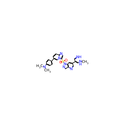 CN/C=C(\C=N)c1cnc2cnn(S(=O)(=O)c3cnc4ccc(-c5ccc(N(C)C)cc5)cn34)c2c1